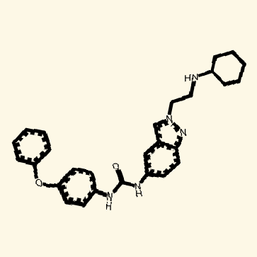 O=C(Nc1ccc(Oc2ccccc2)cc1)Nc1ccc2nn(CCNC3CCCCC3)cc2c1